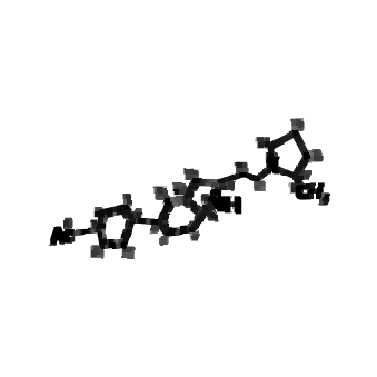 CC(=O)c1ccc(-c2ccc3[nH]c(CCN4CCCC4C)cc3c2)cc1